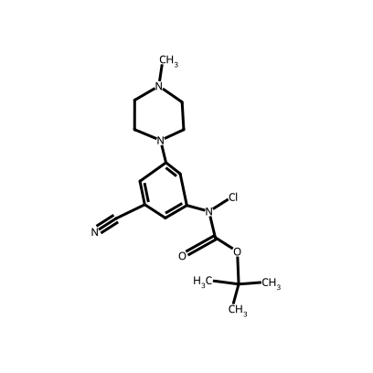 CN1CCN(c2cc(C#N)cc(N(Cl)C(=O)OC(C)(C)C)c2)CC1